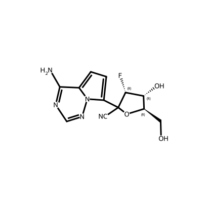 N#CC1(c2ccc3c(N)ncnn23)O[C@H](CO)[C@@H](O)[C@H]1F